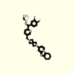 CCO/N=C(\c1ccc(F)c(F)c1)c1ccc(CN2CC3(C2)CN(c2ccn4c5c(nc4c2)CCCC5)C3)cn1